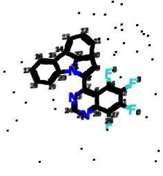 Fc1c(F)c(F)c2c(-c3cc4cccc5c6ccccc6n3c45)ncnc2c1F